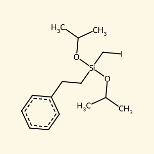 CC(C)O[Si](CI)(CCc1ccccc1)OC(C)C